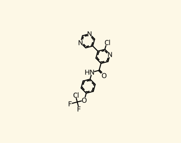 O=C(Nc1ccc(OC(F)(F)Cl)cc1)c1cnc(Cl)c(-c2cncnc2)c1